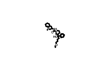 CCOCCCCC(O)(c1ccccc1)C1CCCN(C(=O)NC(CNC)CC2CCCCC2)C1